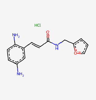 Cl.Nc1ccc(N)c(C=CC(=O)NCc2ccco2)c1